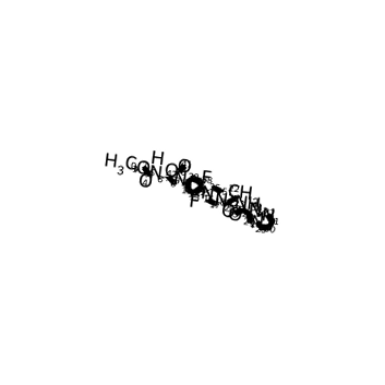 CCOC(=O)NC[C@H]1CN(c2cc(F)c(N3CCN(C(=O)[C@H](C)NC(=O)c4cn5cccnc5n4)CC3)c(F)c2)C(=O)O1